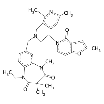 CCN1C(=O)C(C)(C)C(=O)N(C)c2cc(CN(CCn3ccc4oc(C)cc4c3=O)Cc3ccc(C)nc3C)ccc21